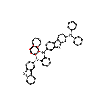 c1ccc(N(c2ccccc2)c2ccc3c(c2)sc2cc(N(c4ccccc4)c4ccccc4N(c4ccc5ccccc5c4)c4ccc5sc6ccccc6c5c4)ccc23)cc1